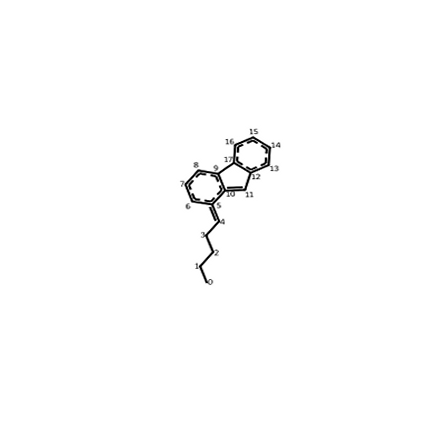 CCCCC=c1cccc2c1=Cc1ccccc1-2